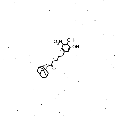 O=C(CCCCc1cc(O)c(O)c([N+](=O)[O-])c1)NC12CC3CC(CC(C3)C1)C2